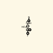 CC1CN(C(=O)Nc2ccc(C#N)cc2F)CCN1c1nnc(-c2ccc(F)cc2)c2ccccc12.Cl